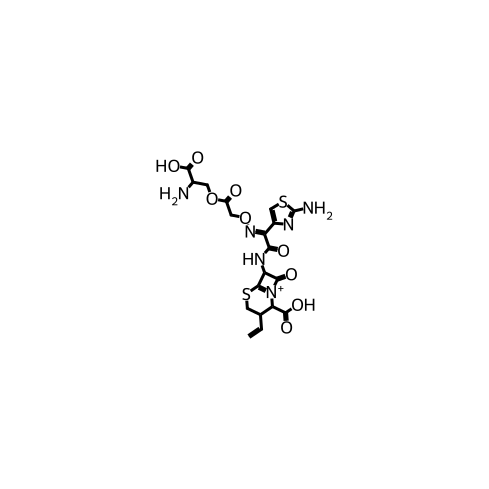 C=CC1CSC2=[N+](C(=O)C2NC(=O)C(=NOCC(=O)OCC(N)C(=O)O)c2csc(N)n2)C1C(=O)O